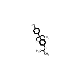 CCC(CC)(c1ccc(O)cc1)c1ccc(OC(C)C)cc1